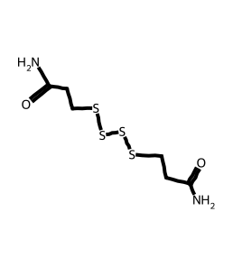 NC(=O)CCSSSSCCC(N)=O